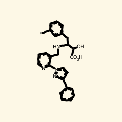 O=C(O)C(O)C(Cc1cccc(F)c1)NCc1cccnc1-n1ccc(-c2ccccc2)n1